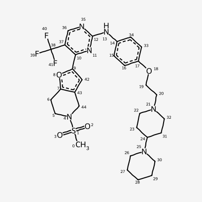 CS(=O)(=O)N1CCc2oc(-c3nc(Nc4ccc(OCCN5CCC(N6CCCCC6)CC5)cc4)ncc3C(F)(F)F)cc2C1